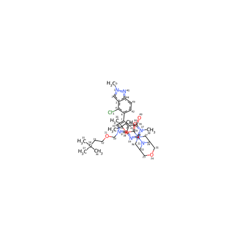 Cn1cc2c(Cl)c(-c3cn(COCC[Si](C)(C)C)c4nc(N5C6COCC5CN(C(=O)OC(C)(C)C)C6)n(C)c(=O)c34)ccc2n1